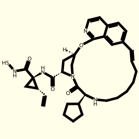 C=C[C@@H]1C[C@]1(NC(=O)[C@@H]1C[C@@H]2CN1C(=O)[C@H](C1CCCC1)NCCCCC/C=C/c1ccc3ccnc(c3c1)O2)C(=O)NS